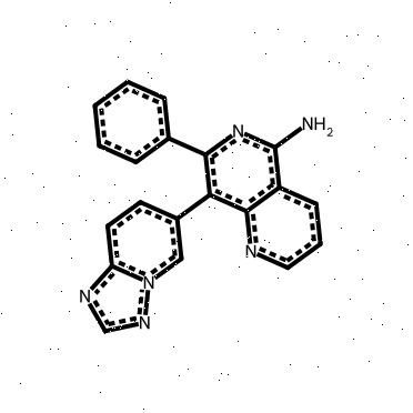 Nc1nc(-c2ccccc2)c(-c2ccc3ncnn3c2)c2ncccc12